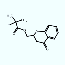 CCC(C)(C)C(=O)OCC1CC(=O)c2ccccc2S1